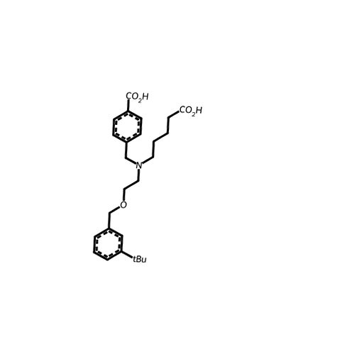 CC(C)(C)c1cccc(COCCN(CCCCC(=O)O)Cc2ccc(C(=O)O)cc2)c1